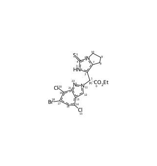 CCOC(=O)[C@@H](c1[nH]c(=S)n2c1CCC2)n1cc2c(Cl)cc(Br)c(Cl)c2n1